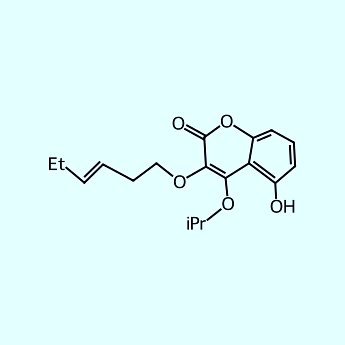 CCC=CCCOc1c(OC(C)C)c2c(O)cccc2oc1=O